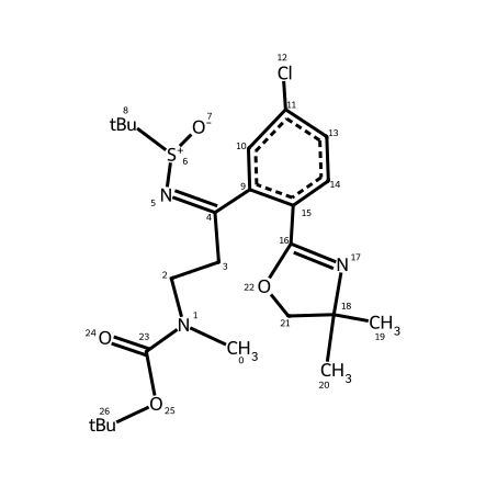 CN(CC/C(=N/[S+]([O-])C(C)(C)C)c1cc(Cl)ccc1C1=NC(C)(C)CO1)C(=O)OC(C)(C)C